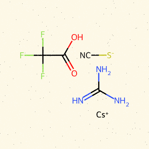 N#C[S-].N=C(N)N.O=C(O)C(F)(F)F.[Cs+]